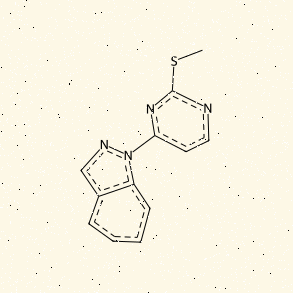 CSc1nccc(-n2ncc3ccccc32)n1